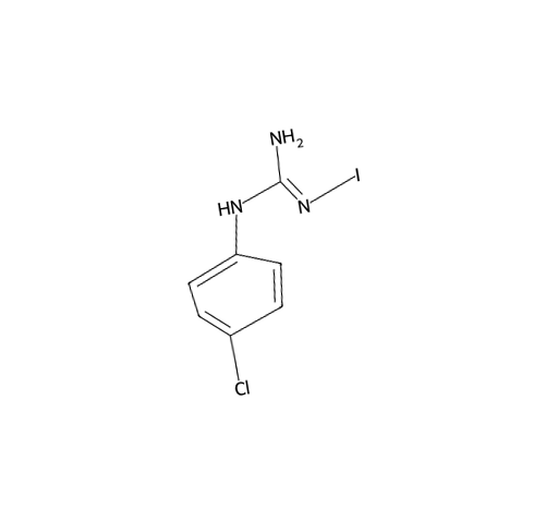 NC(=NI)Nc1ccc(Cl)cc1